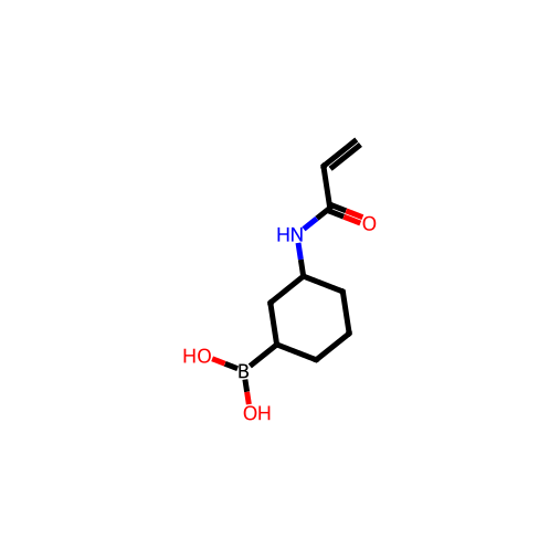 C=CC(=O)NC1CCCC(B(O)O)C1